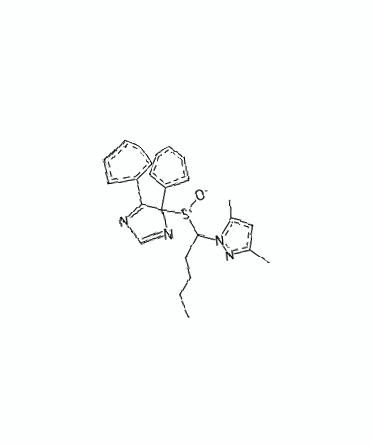 CCCCC(n1nc(C)cc1C)[S+]([O-])C1(c2ccccc2)N=CN=C1c1ccccc1